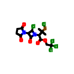 CC(C)(SCl)C(C(=O)OCC(Cl)(Cl)Cl)N1C(=O)C(N2C(=O)CCC2=O)C1Cl